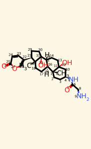 C[C@]12CC[C@H](NC(=O)CN)C[C@@]1(O)CC[C@@H]1[C@@H]2CC[C@]2(C)[C@@H](c3ccc(=O)oc3)CC[C@]12O